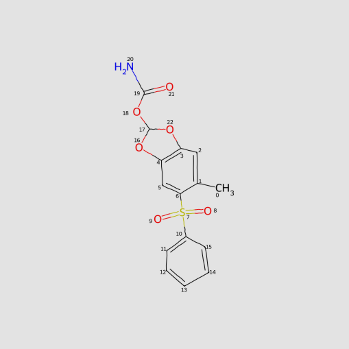 Cc1cc2c(cc1S(=O)(=O)c1ccccc1)OC(OC(N)=O)O2